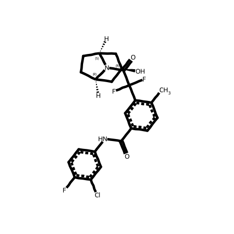 Cc1ccc(C(=O)Nc2ccc(F)c(Cl)c2)cc1C(F)(F)C(=O)N1[C@@H]2CC[C@H]1C[C@@H](O)C2